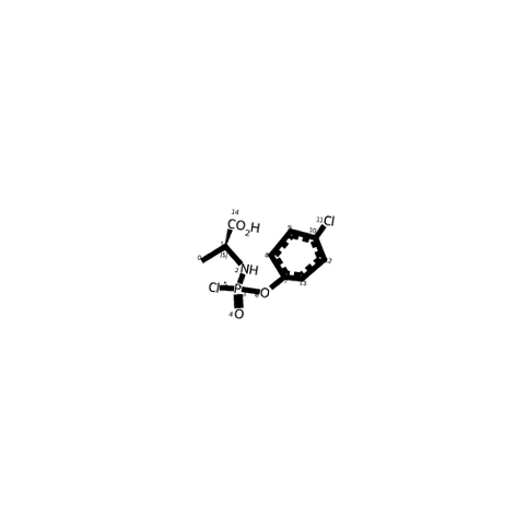 C[C@H](NP(=O)(Cl)Oc1ccc(Cl)cc1)C(=O)O